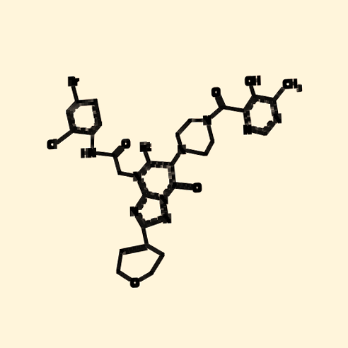 CCc1c(N2CCN(C(=O)c3ncnc(C)c3O)CC2)c(=O)n2nc(C3=CCOCC3)nc2n1CC(=O)Nc1ccc(Br)cc1Cl